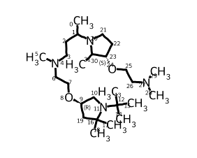 CC(CCN(C)CCO[C@H]1CN(C(C)(C)C)C(C)(C)C1)N1CC[C@H](OCCN(C)C)C1C